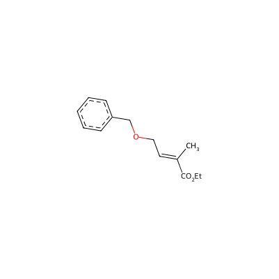 CCOC(=O)C(C)=CCOCc1ccccc1